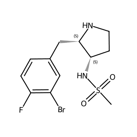 CS(=O)(=O)N[C@H]1CCN[C@H]1Cc1ccc(F)c(Br)c1